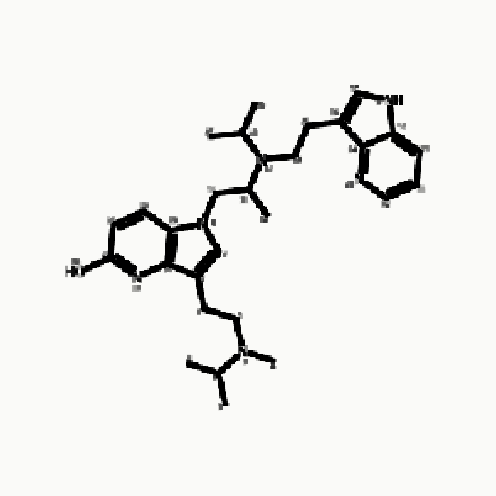 CC(C)N(C)CCc1cn(CC(C)N(CCc2c[nH]c3cccnc23)C(C)C)c2ccc(O)nc12